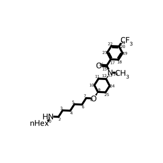 CCCCCCNCCCCCCO[C@H]1CC[C@H](N(C)C(=O)c2ccc(C(F)(F)F)cc2)CC1